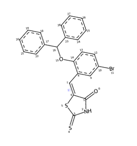 O=C1NC(=S)S/C1=C/c1cc(Br)ccc1OC(c1ccccc1)c1ccccc1